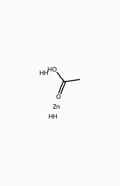 CC(=O)O.[HH].[HH].[Zn]